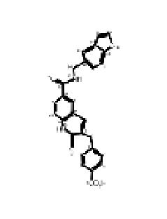 O=C(O)c1ccc(Cc2cc3cc(C(=O)NCc4ccc5sccc5c4)ccc3[nH]c2=O)cc1